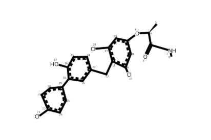 CNC(=O)[C@H](C)Oc1cc(Cl)c(Cc2ccc(O)c(-c3ccc(Cl)cc3)c2)c(Cl)c1